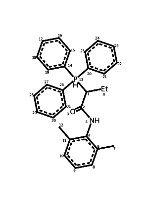 CCC(C(=O)Nc1c(C)cccc1C)[PH](c1ccccc1)(c1ccccc1)c1ccccc1